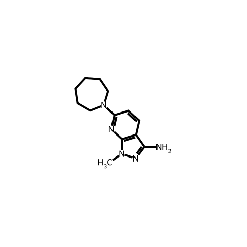 Cn1nc(N)c2ccc(N3CCCCCC3)nc21